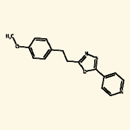 COc1ccc(CCc2nnc(-c3ccncc3)o2)cc1